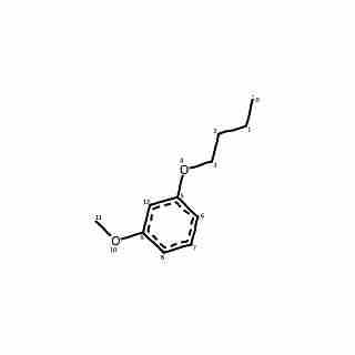 [CH2]CCCOc1cccc(OC)c1